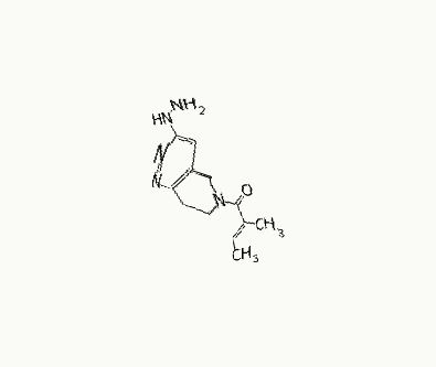 CC=C(C)C(=O)N1CCc2nnc(NN)cc2C1